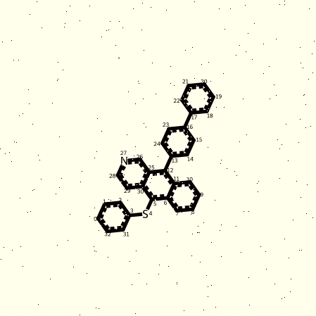 c1ccc(Sc2c3ccccc3c(-c3ccc(-c4ccccc4)cc3)c3cnccc23)cc1